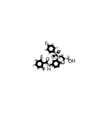 O=C(Nc1ccc2c(c1)N(S(=O)(=O)c1ccc(F)cc1)C[C@H](CO)O2)c1c(F)cccc1F